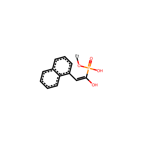 CCOP(=O)(O)C(O)=Cc1cccc2ccccc12